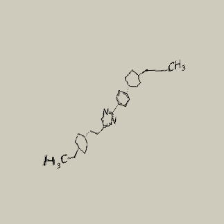 CCC[C@H]1CC[C@H](c2ccc(-c3ncc(CC[C@H]4CC[C@H](CC)CC4)cn3)cc2)CC1